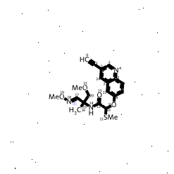 C#Cc1cnc2ccc(OC(SC)C(=O)NC(C)(/C=N/OC)COC)cc2c1